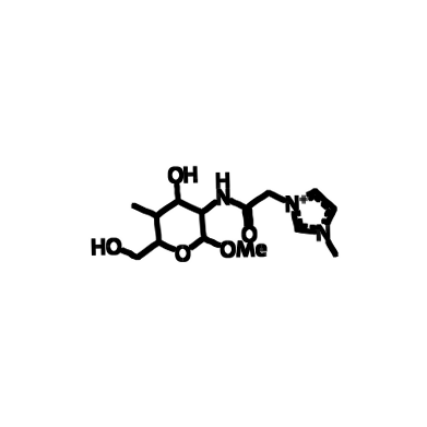 COC1OC(CO)C(C)C(O)C1NC(=O)C[n+]1ccn(C)c1